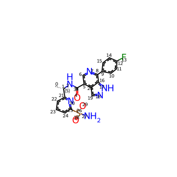 C[C@H](NC(=O)c1cnc(-c2ccc(F)cc2)c2[nH]ncc12)c1cccc(S(N)(=O)=O)n1